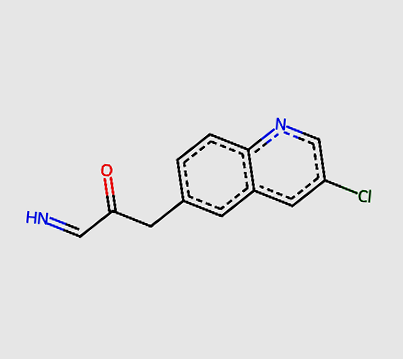 N=CC(=O)Cc1ccc2ncc(Cl)cc2c1